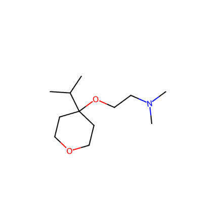 CC(C)C1(OCCN(C)C)CCOCC1